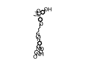 CC[C@H]1[C@@H](c2ccc(OCCCCCN3CCN(c4ccc5c(c4)CN(C4CCC(=O)NC4=O)C5=O)CC3)cc2)c2ccc(O)cc2O[C@H]1C